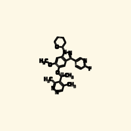 COc1cc2c(cc1O[C@@H](C)c1c(C)cnnc1C)c(-c1ccc(F)nc1)nn2C1CCCCO1